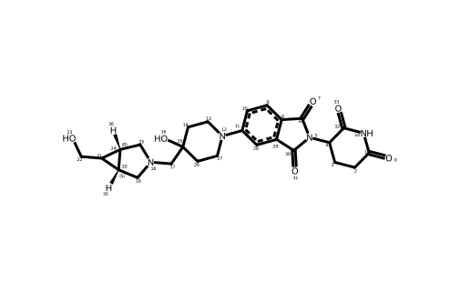 O=C1CCC(N2C(=O)c3ccc(N4CCC(O)(CN5C[C@@H]6C(CO)[C@@H]6C5)CC4)cc3C2=O)C(=O)N1